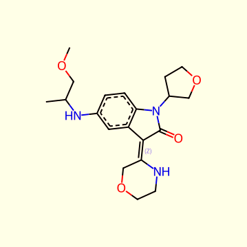 COCC(C)Nc1ccc2c(c1)/C(=C1\COCCN1)C(=O)N2C1CCOC1